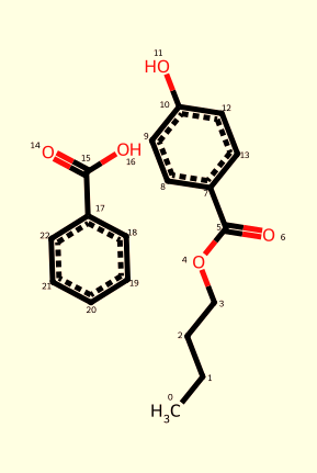 CCCCOC(=O)c1ccc(O)cc1.O=C(O)c1ccccc1